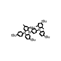 Cc1cc(Nc2cccc(N(c3ccc(C(C)(C)C)cc3)c3c(C)cc(C(C)(C)C)cc3C)c2)c(Br)c(N(c2ccc(C(C)(C)C)cc2)c2ccc(C(C)(C)C)cc2)c1